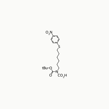 CC(C)(C)OC(=O)N(CCCCCCSc1ccc([N+](=O)[O-])cc1)C(=O)O